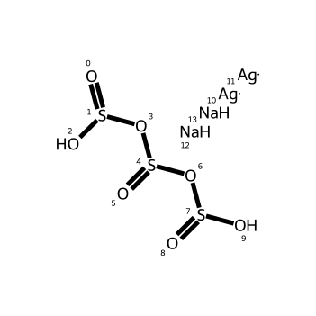 O=S(O)OS(=O)OS(=O)O.[Ag].[Ag].[NaH].[NaH]